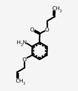 C=CCOC(=O)c1cccc(OCC=C)c1N